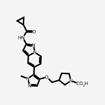 Cn1ncc(OCC2CCN(C(=O)O)C2)c1-c1ccn2nc(NC(=O)C3CC3)cc2c1